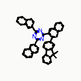 CC1(C)c2ccccc2-c2ccc(-c3cc4ccccc4cc3-c3nc(-c4ccc5ccccc5c4)nc(-c4ccc5ccccc5c4)n3)cc21